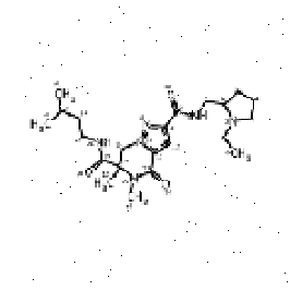 CCN1CCCC1CNC(=O)c1cc2n(n1)CC(C)(C(=O)NCCC(C)C)N(C)C2=O